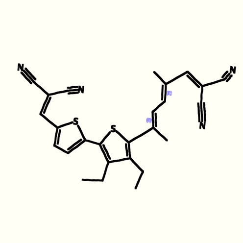 CCc1c(/C(C)=C/C=C(\C)C=C(C#N)C#N)sc(-c2ccc(C=C(C#N)C#N)s2)c1CC